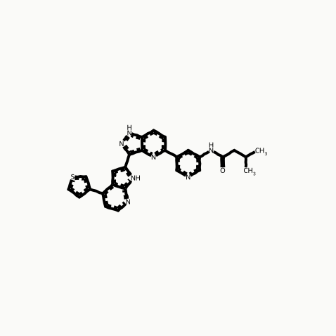 CC(C)CC(=O)Nc1cncc(-c2ccc3[nH]nc(-c4cc5c(-c6ccsc6)ccnc5[nH]4)c3n2)c1